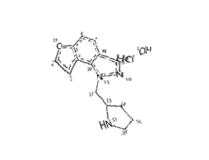 Cl.Cl.c1cc2c(ccc3cnn(CC4CCCN4)c32)o1